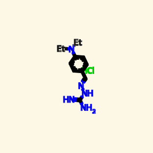 CCN(CC)c1ccc(/C=N/NC(=N)N)cc1.Cl